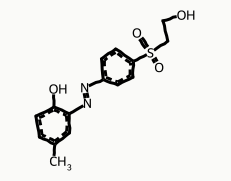 Cc1ccc(O)c(/N=N/c2ccc(S(=O)(=O)CCO)cc2)c1